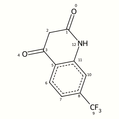 O=C1CC(=O)c2ccc(C(F)(F)F)cc2N1